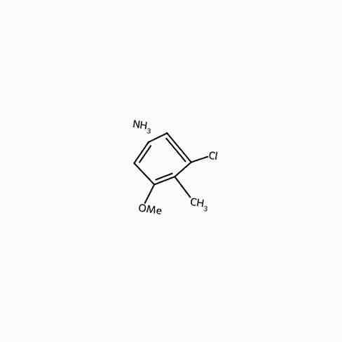 COc1cccc(Cl)c1C.N